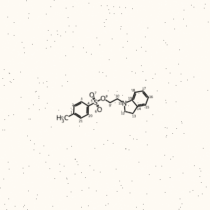 Cc1ccc(S(=O)(=O)OCCN2CCc3ccccc32)cc1